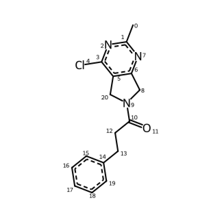 Cc1nc(Cl)c2c(n1)CN(C(=O)CCc1ccccc1)C2